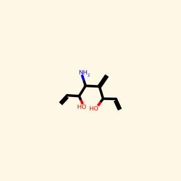 C=CC(O)[C](N)C(=C)C(O)C=C